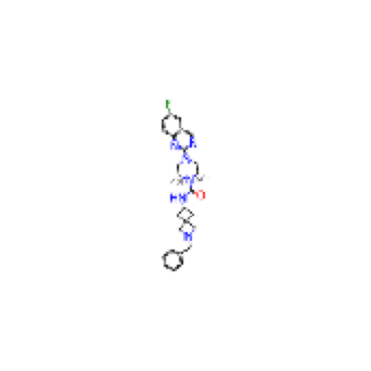 C[C@@H]1CN(c2ncc3cc(F)ccc3n2)C[C@H](C)N1C(=O)NC1CC2(C1)CN(Cc1ccccc1)C2